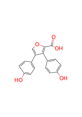 O=C(O)c1occ(-c2ccc(O)cc2)c1-c1ccc(O)cc1